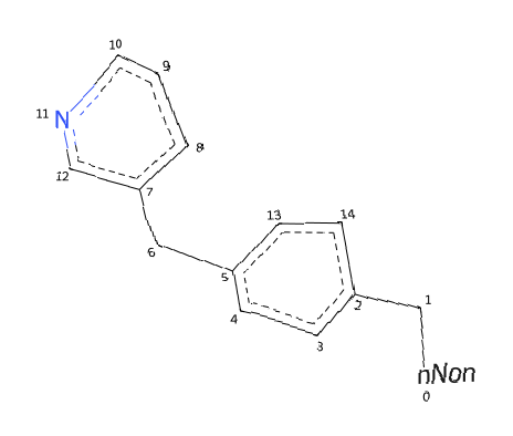 CCCCCCCCCCc1ccc(Cc2cccnc2)cc1